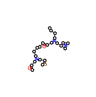 c1cc(-c2ccc(N(c3ccc(-c4ccc(-c5ccccc5-n5c6ccccc6c6ccccc65)cc4)cc3)c3ccc(-c4ccc5oc6c(-c7ccc8cc(-c9cccc(-c%10ccc(N(c%11ccc(-c%12ccc%13oc%14ccccc%14c%13c%12)cc%11)c%11ccc(-c%12cccc%13sc%14ccccc%14c%12%13)cc%11)cc%10)c9)ccc8c7)cccc6c5c4)cc3)cc2)cc(-c2ccc3ccccc3c2)c1